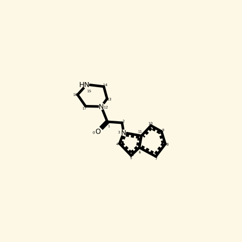 O=C(Cn1c[c]c2ccccc21)N1CCNCC1